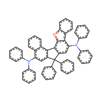 c1ccc(N(c2ccccc2)c2cc3c(c4ccccc24)-c2c(cc(N(c4ccccc4)c4ccccc4)c4c2oc2ccccc24)C3(c2ccccc2)c2ccccc2)cc1